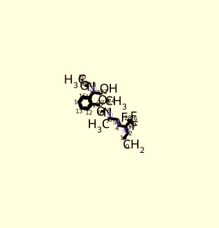 C=C\C=C(/C=C/C(C)=N/OCc1ccccc1/C(=N\OC)C(O)OC)C(F)(F)F